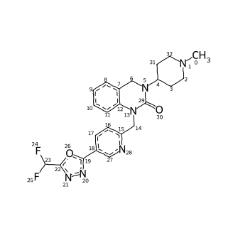 CN1CCC(N2Cc3ccccc3N(Cc3ccc(-c4nnc(C(F)F)o4)cn3)C2=O)CC1